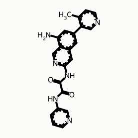 Cc1ccncc1-c1cc(N)c2cnc(NC(=O)C(=O)Nc3cccnc3)cc2c1